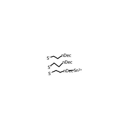 CCCCCCCCCCCC[S-].CCCCCCCCCCCC[S-].CCCCCCCCCCCC[S-].[CH3][Sn+3]